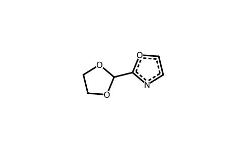 c1coc([C]2OCCO2)n1